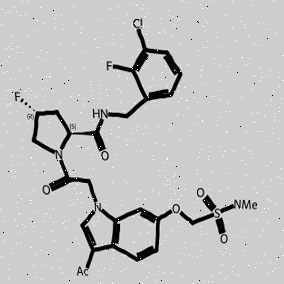 CNS(=O)(=O)COc1ccc2c(C(C)=O)cn(CC(=O)N3C[C@H](F)C[C@H]3C(=O)NCc3cccc(Cl)c3F)c2c1